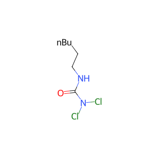 CCCCCCNC(=O)N(Cl)Cl